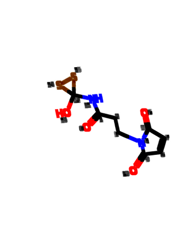 O=C(CCN1C(=O)C=CC1=O)NC1(O)SS1